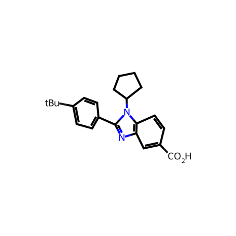 CC(C)(C)c1ccc(-c2nc3cc(C(=O)O)ccc3n2C2CCCC2)cc1